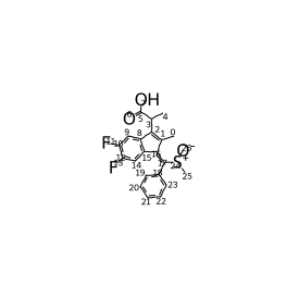 CC1=C(C(C)C(=O)O)c2cc(F)c(F)cc2C1=C(c1ccccc1)[S+](C)[O-]